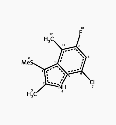 CSc1c(C)[nH]c2c(Cl)cc(F)c(C)c12